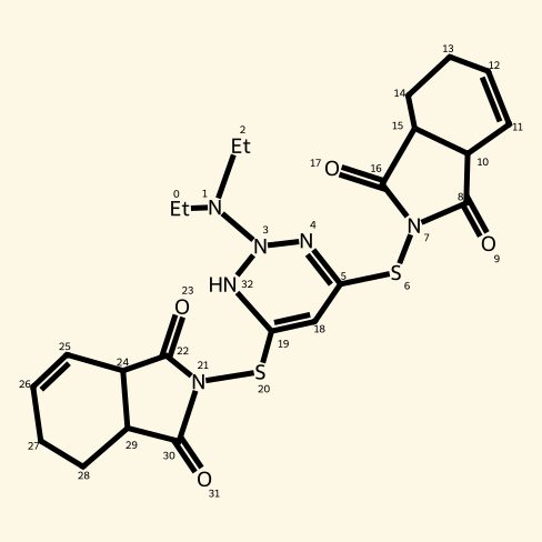 CCN(CC)N1N=C(SN2C(=O)C3C=CCCC3C2=O)C=C(SN2C(=O)C3C=CCCC3C2=O)N1